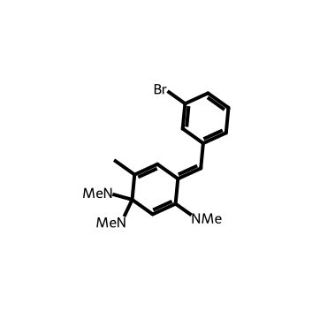 CNC1=CC(NC)(NC)C(C)=CC1=Cc1cccc(Br)c1